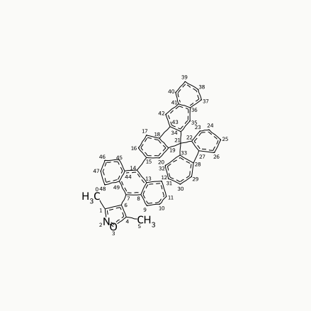 Cc1noc(C)c1-c1c2ccccc2c(-c2ccc3c(c2)C2(c4ccccc4-c4ccccc42)c2cc4ccccc4cc2-3)c2ccccc12